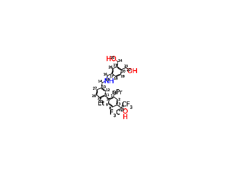 CCCc1cc(C(O)(C(F)(F)F)C(F)(F)F)ccc1-c1cc(CNCc2ccc(CO)c(CO)c2)ccc1CC